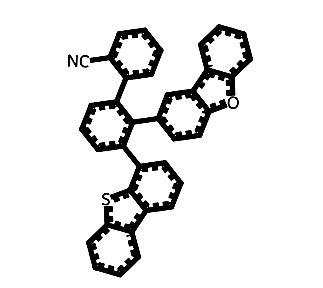 N#Cc1ccccc1-c1cccc(-c2cccc3c2sc2ccccc23)c1-c1ccc2oc3ccccc3c2c1